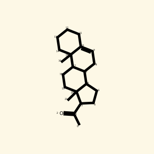 CC(=O)C1CCC2C3CC=C4CCCCC4(C)C3CCC12C